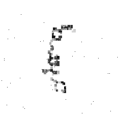 O=C(NCC1CCOCC1)c1cc(COCc2ccc(OC(F)(F)F)cc2)on1